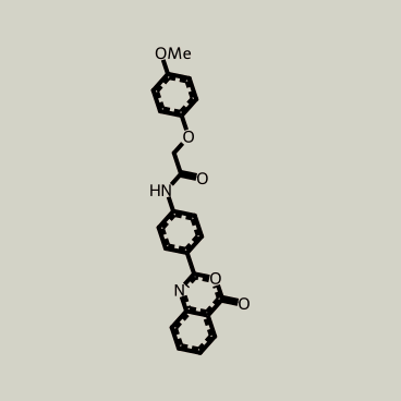 COc1ccc(OCC(=O)Nc2ccc(-c3nc4ccccc4c(=O)o3)cc2)cc1